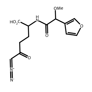 COC(C(=O)NC(CCC(=O)C=[N+]=[N-])C(=O)O)c1ccoc1